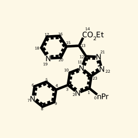 CCCc1nc(-c2ccncc2)cn2c(C(C(=O)OCC)c3cccnc3)nnc12